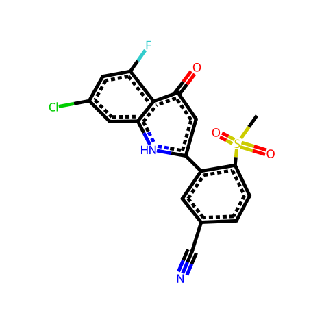 CS(=O)(=O)c1ccc(C#N)cc1-c1cc(=O)c2c(F)cc(Cl)cc2[nH]1